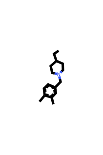 CCC1CCN(Cc2ccc(C)c(C)c2)CC1